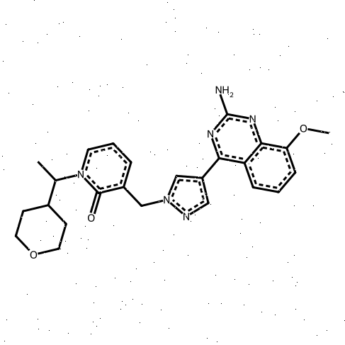 COc1cccc2c(-c3cnn(Cc4cccn(C(C)C5CCOCC5)c4=O)c3)nc(N)nc12